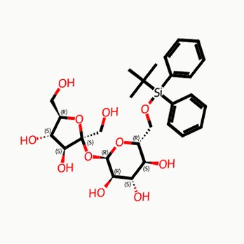 CC(C)(C)[Si](OC[C@H]1O[C@H](O[C@]2(CO)O[C@H](CO)[C@@H](O)[C@@H]2O)[C@H](O)[C@@H](O)[C@@H]1O)(c1ccccc1)c1ccccc1